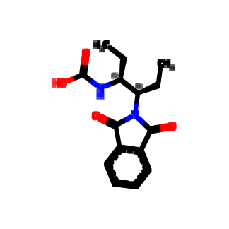 CC[C@H](NC(=O)O)[C@@H](CC)N1C(=O)c2ccccc2C1=O